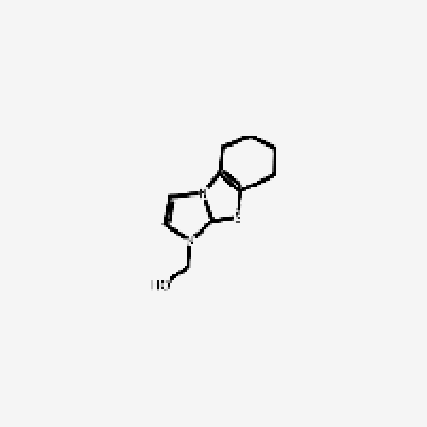 OCN1C=CN2C3=C(CCCC3)SC12